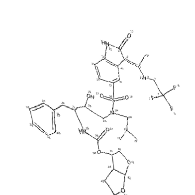 C/C(NCC(F)(F)F)=C1\C(=O)Nc2ccc(S(=O)(=O)N(CC(C)C)CC(O)C(Cc3ccccc3)NC(=O)OC3COC4OCCC34)cc21